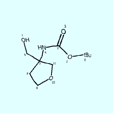 CC(C)(C)OC(=O)NC1(CO)CCOC1